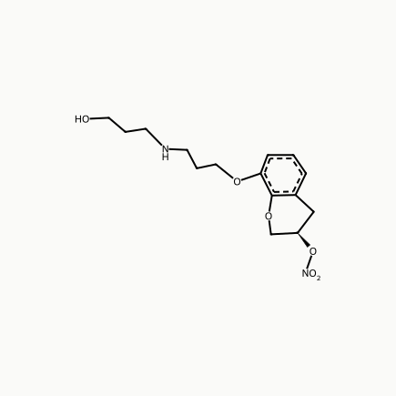 O=[N+]([O-])O[C@H]1COc2c(cccc2OCCCNCCCO)C1